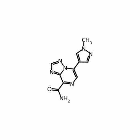 Cn1cc(-c2cnc(C(N)=O)c3n[c]nn23)cn1